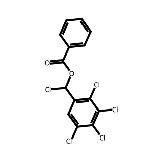 O=C(OC(Cl)c1cc(Cl)c(Cl)c(Cl)c1Cl)c1ccccc1